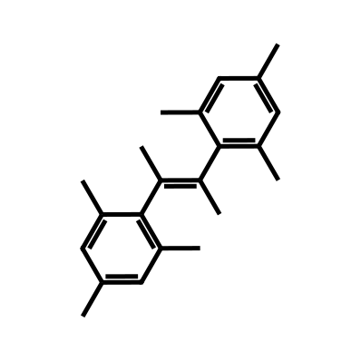 CC(=C(C)c1c(C)cc(C)cc1C)c1c(C)cc(C)cc1C